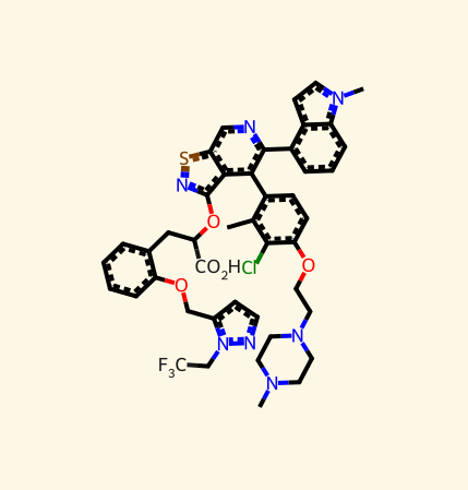 Cc1c(-c2c(-c3cccc4c3ccn4C)ncc3snc(OC(Cc4ccccc4OCc4ccnn4CC(F)(F)F)C(=O)O)c23)ccc(OCCN2CCN(C)CC2)c1Cl